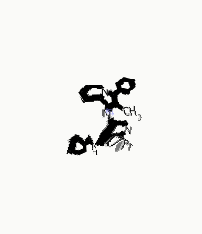 CC1=C(c2ccccc2)[n+]2ccccc2/C1=N/c1cnn(C(C)C)c1NCc1ccccc1